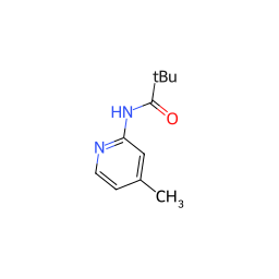 Cc1ccnc(NC(=O)C(C)(C)C)c1